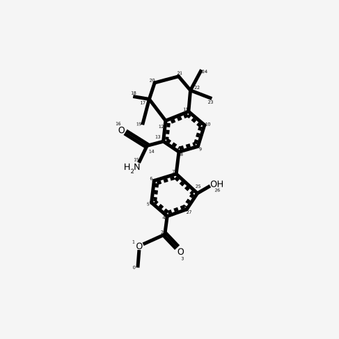 COC(=O)c1ccc(-c2ccc3c(c2C(N)=O)C(C)(C)CCC3(C)C)c(O)c1